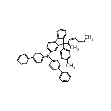 C=C(/C=C\C=C/C)C1(c2ccc(C)cc2)c2ccccc2-c2ccc(N(c3ccc(-c4ccccc4)cc3)c3ccc(-c4ccccc4)cc3)cc21